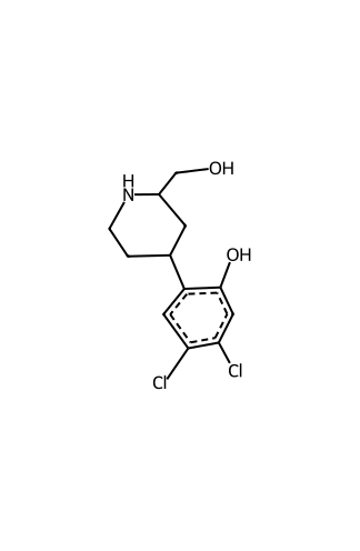 OCC1CC(c2cc(Cl)c(Cl)cc2O)CCN1